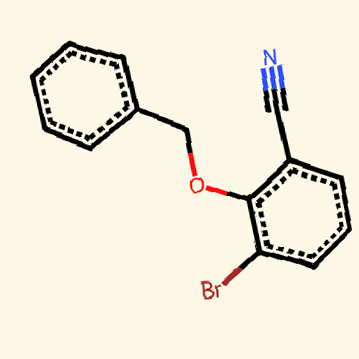 N#Cc1cccc(Br)c1OCc1ccccc1